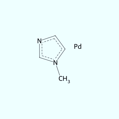 Cn1ccnc1.[Pd]